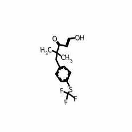 CC(C)(Cc1ccc(SC(F)(F)F)cc1)C(=O)C=CO